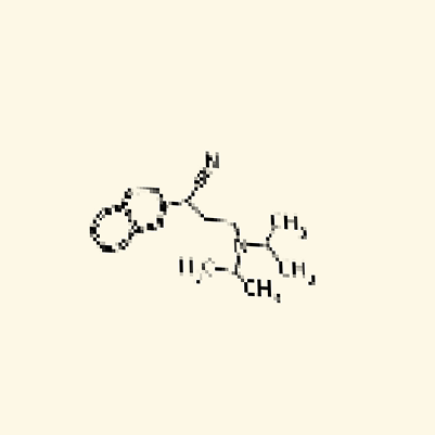 CC(C)N(CCC(C#N)c1ccc2ccccc2c1)C(C)C